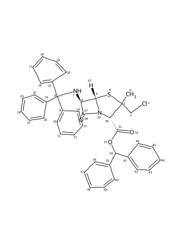 CC1(CCl)S[C@H]2[C@H](NC(c3ccccc3)(c3ccccc3)c3ccccc3)C(=O)N2[C@H]1C(=O)OC(c1ccccc1)c1ccccc1